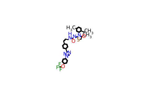 Cc1ccc(C(C)C)c(N2C(=O)CS/C2=N\C(=O)NC/C=C\c2ccc(-c3ncn(-c4ccc(OC(F)(F)F)cc4)n3)cc2)c1